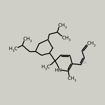 C=C/C=C\C1=C(C)NC(C)(C2CC(CC(C)C)CC(CC(C)C)C2)C=C1